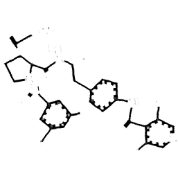 COC(=O)[C@H]1CCN(S(=O)(=O)c2cc(Cl)cc(Cl)c2)[C@]1(C)C(=O)N[C@@H](Cc1ccc(NC(=O)c2c(Cl)cncc2Cl)cc1)C(=O)O